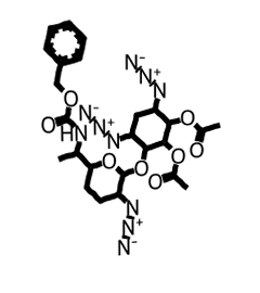 CC(=O)OC1C(N=[N+]=[N-])CC(N=[N+]=[N-])C(OC2OC(C(C)NC(=O)OCc3ccccc3)CCC2N=[N+]=[N-])C1OC(C)=O